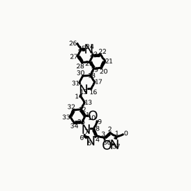 Cc1cc(-c2ncn3c2COc2c(CCN4CCC(c5cccc6nc(C)ccc56)CC4)cccc2-3)on1